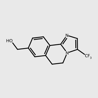 OCc1ccc2c(c1)CCn1c(C(F)(F)F)cnc1-2